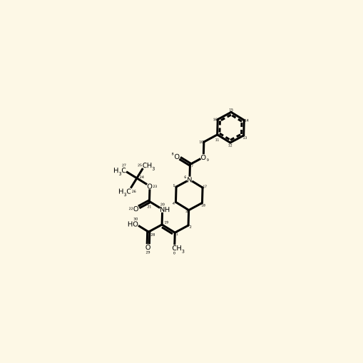 CC(CC1CCN(C(=O)OCc2ccccc2)CC1)=C(NC(=O)OC(C)(C)C)C(=O)O